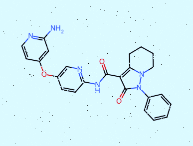 Nc1cc(Oc2ccc(NC(=O)c3c4n(n(-c5ccccc5)c3=O)CCCC4)nc2)ccn1